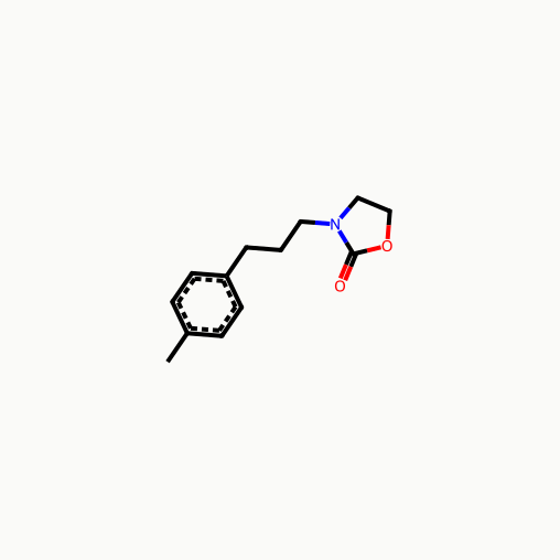 Cc1ccc(CCCN2CCOC2=O)cc1